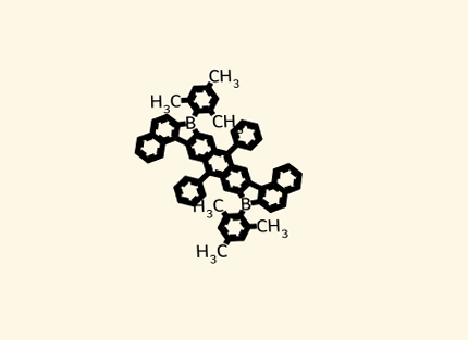 Cc1cc(C)c(B2c3cc4c(-c5ccccc5)c5cc6c(cc5c(-c5ccccc5)c4cc3-c3c2ccc2ccccc32)B(c2c(C)cc(C)cc2C)c2ccc3ccccc3c2-6)c(C)c1